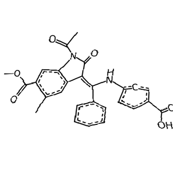 COC(=O)c1cc2c(cc1C)/C(=C(/Nc1ccc(C(=O)O)cc1)c1ccccc1)C(=O)N2C(C)=O